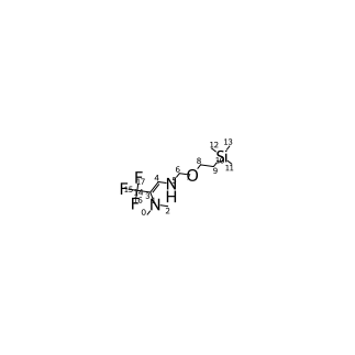 CN(C)/C(=C\NCOCC[Si](C)(C)C)C(F)(F)F